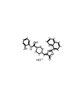 CC(C)c1ccccc1NC(=N)N1CCN(C=C2N=C(c3cccc4ccccc34)OC2=O)CC1.Cl